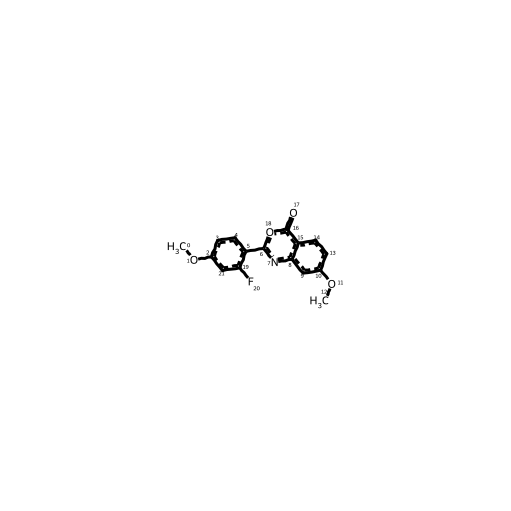 COc1ccc(-c2nc3cc(OC)ccc3c(=O)o2)c(F)c1